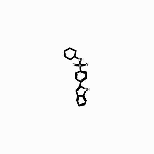 O=S(=O)(NC1CCCCC1)c1ccc(-c2cc3ccccc3[nH]2)cc1